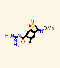 CO/N=C1\CS(=O)(=O)c2cc(C(=O)N=C(N)N)c(C)cc21